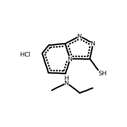 CCNC.Cl.Sc1nnc2ccccn12